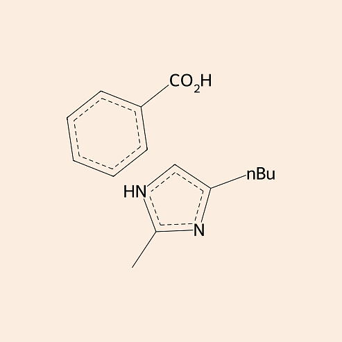 CCCCc1c[nH]c(C)n1.O=C(O)c1ccccc1